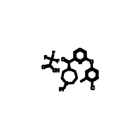 Cc1cc(Oc2cccc(C(=O)N3CCCN(C(C)C)CC3)n2)ccc1Cl.O=C(O)C(F)(F)F